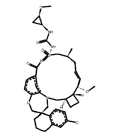 CO[C@H]1/C=C/C[C@H](C)C[S@@](=O)(NC(=O)N[C@H]2C[C@H]2OC)=NC(=O)c2ccc3c(c2)N(C[C@@H]2CC[C@H]21)C[C@@]1(CCCc2cc(Cl)ccc21)CO3